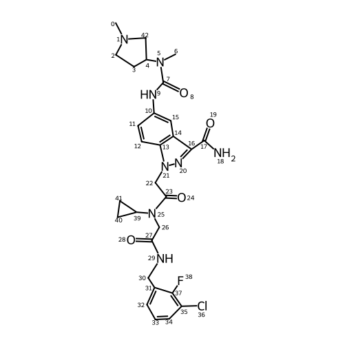 CN1CCC(N(C)C(=O)Nc2ccc3c(c2)c(C(N)=O)nn3CC(=O)N(CC(=O)NCc2cccc(Cl)c2F)C2CC2)C1